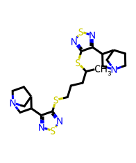 CC(CCCSc1nsnc1C1CN2CCC1C2)Sc1nsnc1C1CN2CCC1C2